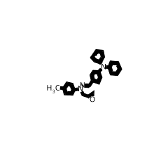 Cc1ccc(N(CC2CO2)/N=C/c2ccc(N(c3ccccc3)c3ccccc3)cc2)cc1